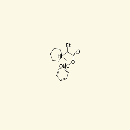 CCC(C(=O)OC=O)[PH]1(Cc2ccccc2)CCCCC1